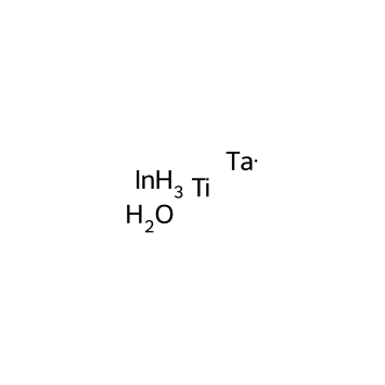 O.[InH3].[Ta].[Ti]